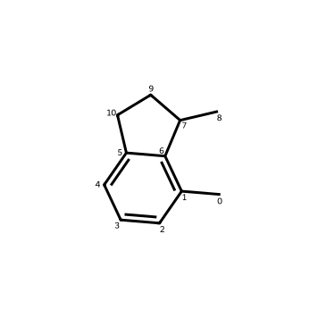 Cc1cccc2c1C(C)CC2